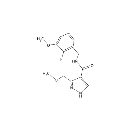 COCc1n[nH]cc1C(=O)NCc1cccc(OC)c1F